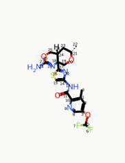 Cc1cc(OC(F)F)cnc1C(=O)Nc1csc(C23CO[C@@H](C)C[C@H]2COC(N)=N3)n1